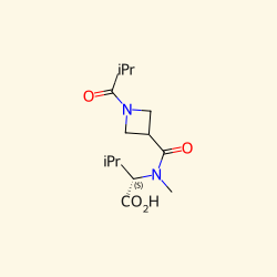 CC(C)C(=O)N1CC(C(=O)N(C)[C@H](C(=O)O)C(C)C)C1